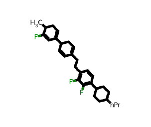 CCCC1CCC(c2ccc(CCC3=CCC(C4=CCC(C)C(F)=C4)C=C3)c(F)c2F)CC1